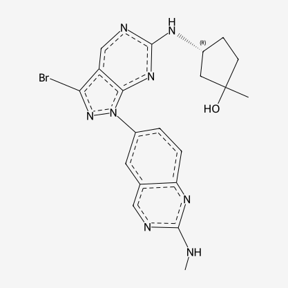 CNc1ncc2cc(-n3nc(Br)c4cnc(N[C@@H]5CCC(C)(O)C5)nc43)ccc2n1